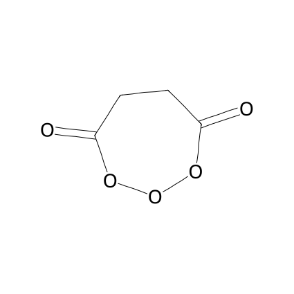 O=C1CCC(=O)OOO1